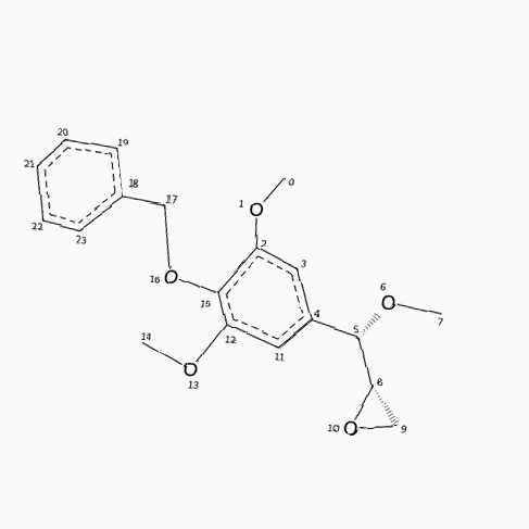 COc1cc([C@H](OC)[C@@H]2CO2)cc(OC)c1OCc1ccccc1